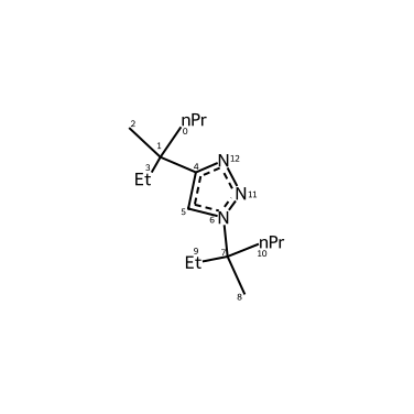 CCCC(C)(CC)c1cn(C(C)(CC)CCC)nn1